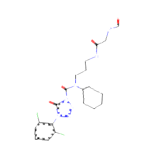 O=CNCC(=O)NCCCN(C(=O)n1nnn(-c2c(Cl)cccc2Cl)c1=O)C1CCCCC1